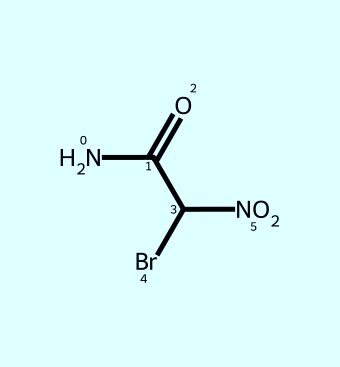 NC(=O)C(Br)[N+](=O)[O-]